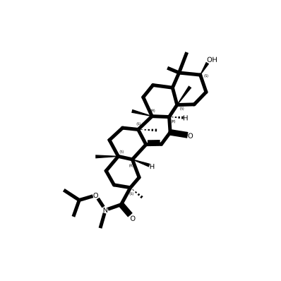 CC(C)ON(C)C(=O)[C@@]1(C)CC[C@]2(C)CC[C@]3(C)C(=CC(=O)[C@@H]4[C@@]5(C)CC[C@H](O)C(C)(C)C5CC[C@]43C)[C@@H]2C1